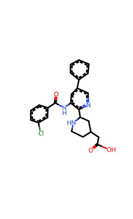 O=C(O)CC1CCNC(c2ncc(-c3ccccc3)cc2NC(=O)c2cccc(Cl)c2)C1